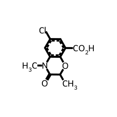 CC1Oc2c(C(=O)O)cc(Cl)cc2N(C)C1=O